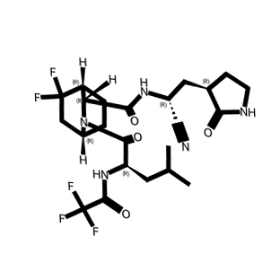 CC(C)C[C@@H](NC(=O)C(F)(F)F)C(=O)N1[C@@H]2CC[C@H]([C@@H]1C(=O)N[C@@H](C#N)C[C@H]1CCNC1=O)C(F)(F)C2